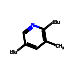 Cc1cc(C(C)(C)C)cnc1C(C)(C)C